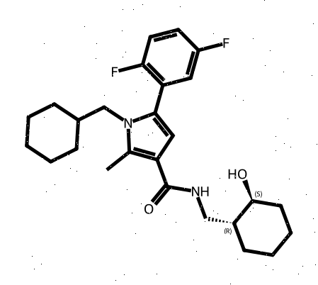 Cc1c(C(=O)NC[C@H]2CCCC[C@@H]2O)cc(-c2cc(F)ccc2F)n1CC1CCCCC1